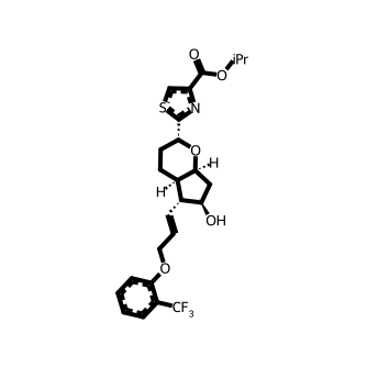 CC(C)OC(=O)c1csc([C@H]2CC[C@@H]3[C@@H](/C=C/COc4ccccc4C(F)(F)F)[C@H](O)C[C@@H]3O2)n1